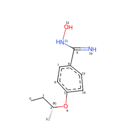 CC[C@@H](C)Oc1ccc(C(=N)NO)cc1